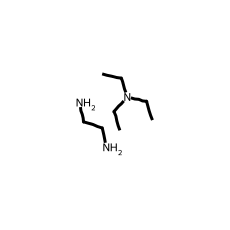 CCN(CC)CC.NCCN